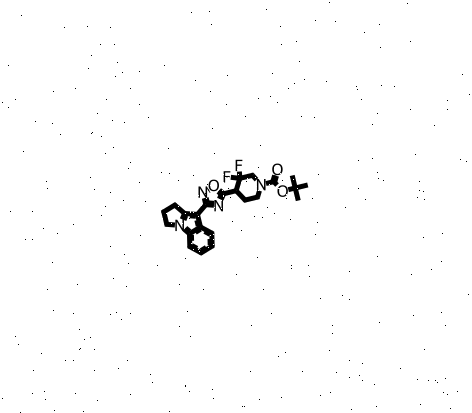 CC(C)(C)OC(=O)N1CCC(c2nc(-c3c4n(c5ccccc35)CCC4)no2)C(F)(F)C1